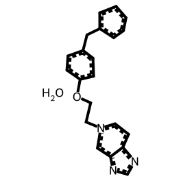 O.c1ccc(Cc2ccc(OCCn3ccc4ncnc-4c3)cc2)cc1